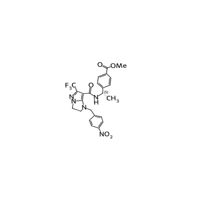 COC(=O)c1ccc([C@H](C)NC(=O)c2c(C(F)(F)F)nn3c2N(Cc2ccc([N+](=O)[O-])cc2)CC3)cc1